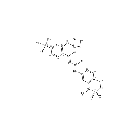 CN1c2cc(NC(=O)C=C3CC4(CCC4)Oc4cc(C(F)(F)F)ccc43)ccc2CCS1(=O)=O